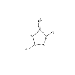 CC1CC(C)C(Br)C1